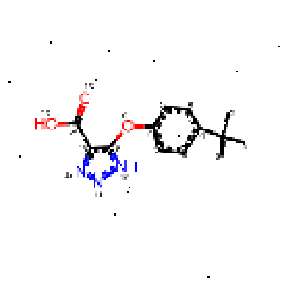 CC(C)(C)c1ccc(Oc2[nH]nnc2C(=O)O)cc1